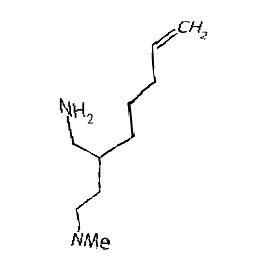 C=CCCCC(CN)CCNC